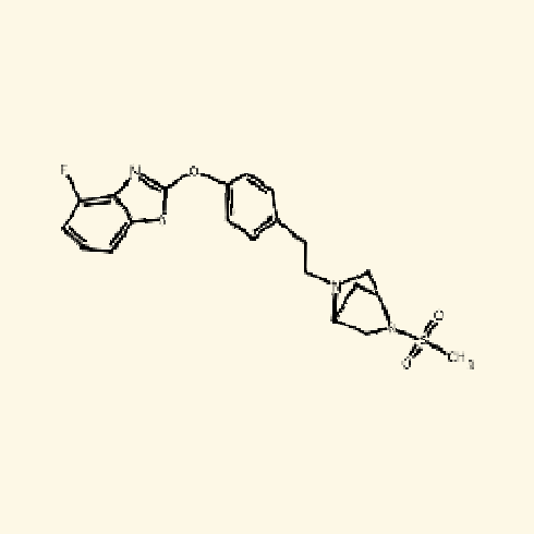 CS(=O)(=O)N1CC2CC1CN2CCc1ccc(Oc2nc3c(F)cccc3s2)cc1